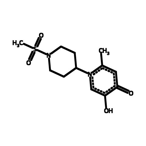 Cc1cc(=O)c(O)cn1C1CCN(S(C)(=O)=O)CC1